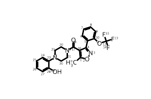 Cc1onc(-c2ccccc2OC(F)(F)F)c1C(=O)N1CCN(c2ccccc2O)CC1